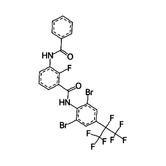 O=C(Nc1cccc(C(=O)Nc2c(Br)cc(C(F)(C(F)(F)F)C(F)(F)F)cc2Br)c1F)c1ccccc1